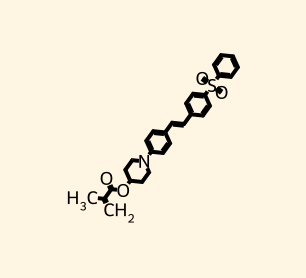 C=C(C)C(=O)OC1CCN(c2ccc(C=Cc3ccc(S(=O)(=O)c4ccccc4)cc3)cc2)CC1